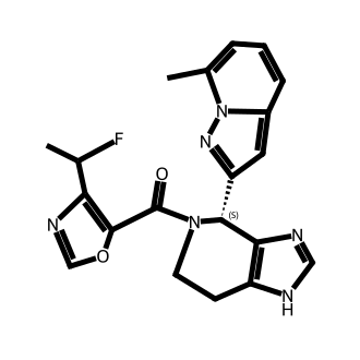 Cc1cccc2cc([C@@H]3c4nc[nH]c4CCN3C(=O)c3ocnc3C(C)F)nn12